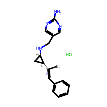 CC/C(=C\c1ccccc1)[C@@H]1C[C@H]1NCc1cnc(N)nc1.Cl